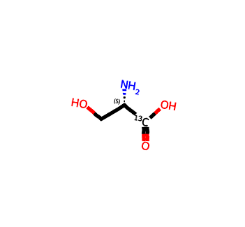 N[C@@H](CO)[13C](=O)O